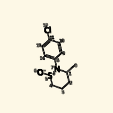 CC1CCC[S+]([O-])N1c1ccc(Cl)cc1